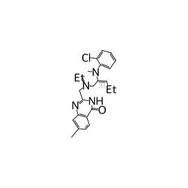 CC/C=C(\CN(CC)Cc1nc2cc(C)ccc2c(=O)[nH]1)N(C)c1ccccc1Cl